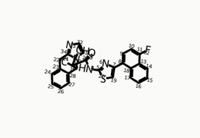 CC1(C(=O)Nc2nc(-c3ccc(F)c4ccccc34)cs2)CC2c3ccccc3C1n1ccnc12